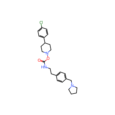 O=C(NCCc1ccc(CN2CCCC2)cc1)ON1CCC(c2ccc(Cl)cc2)CC1